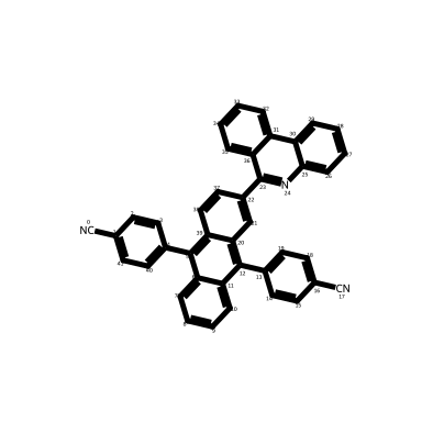 N#Cc1ccc(-c2c3ccccc3c(-c3ccc(C#N)cc3)c3cc(-c4nc5ccccc5c5ccccc45)ccc23)cc1